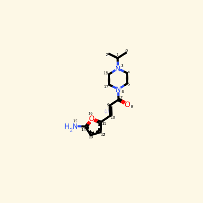 CC(C)N1CCN(C(=O)/C=C/c2ccc(N)o2)CC1